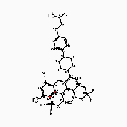 C[C@H](O)COc1cnc(N2CCC(c3nc4c(c(C5CCC(F)(F)CC5)c3Cc3ccc(C(F)(F)F)cc3F)[C@@H](O)CC(C)(C)C4)CC2)nc1